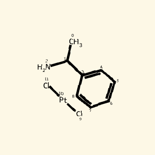 CC(N)c1ccccc1.[Cl][Pt][Cl]